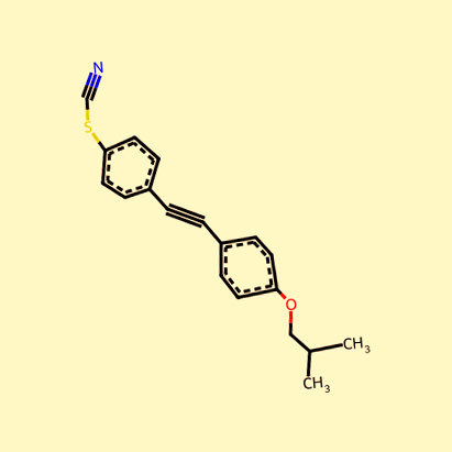 CC(C)COc1ccc(C#Cc2ccc(SC#N)cc2)cc1